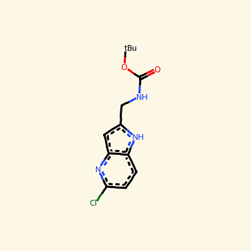 CC(C)(C)OC(=O)NCc1cc2nc(Cl)ccc2[nH]1